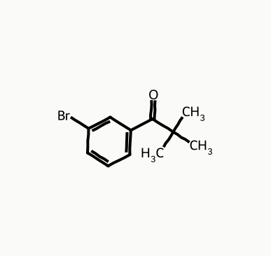 CC(C)(C)C(=O)c1cccc(Br)c1